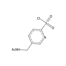 CC(=O)NCc1ccc(S(=O)(=O)Cl)nc1